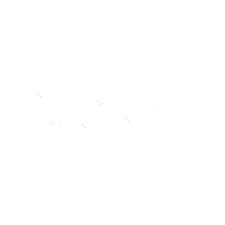 Cn1c(-c2cccnc2N)nc2ccc(-c3ccccc3F)nc21